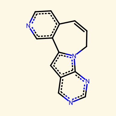 C1=Cc2ccncc2-c2cc3cncnc3n2C1